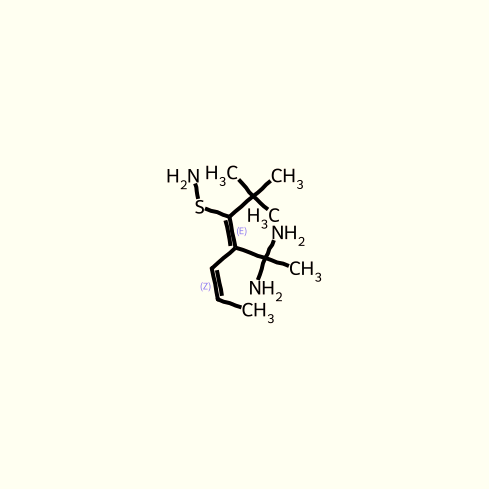 C/C=C\C(=C(/SN)C(C)(C)C)C(C)(N)N